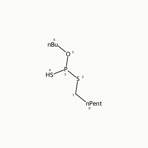 CCCCCCSP(S)OCCCC